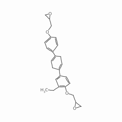 CCc1cc(C2=CCC(c3ccc(OCC4CO4)cc3)=CC2)ccc1OCC1CO1